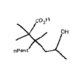 CCCCCC(C)(CC(C)O)C(C)(C)C(=O)O